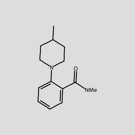 CNC(=O)c1ccccc1N1CCC(C)CC1